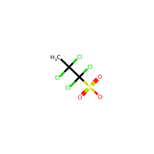 CC(Cl)(Cl)C(Cl)(Cl)S([O])(=O)=O